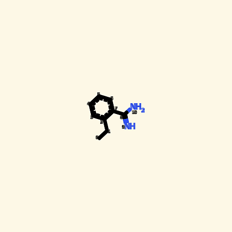 CCc1ccccc1C(=N)N